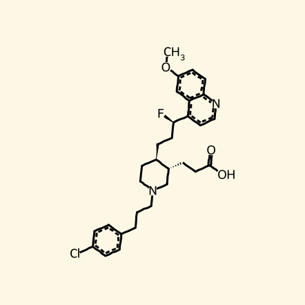 COc1ccc2nccc([C@H](F)CC[C@@H]3CCN(CCCc4ccc(Cl)cc4)C[C@H]3CCC(=O)O)c2c1